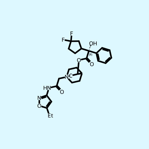 CCc1cc(NC(=O)C[N+]23CCC(CC2)C(OC(=O)[C@](O)(c2ccccc2)C2CCC(F)(F)C2)C3)no1